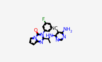 CC(Nc1ncnc(N)c1C#N)c1nc2cccn2c(=O)n1-c1cccc(F)c1